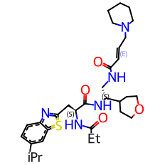 CCC(=O)N[C@@H](Cc1nc2ccc(C(C)C)cc2s1)C(=O)N[C@H](CNC(=O)/C=C/CN1CCCCC1)C1CCOCC1